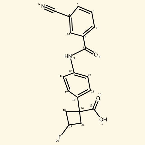 N#Cc1cccc(C(=O)Nc2ccc(C3(C(=O)O)CC(F)C3)cc2)c1